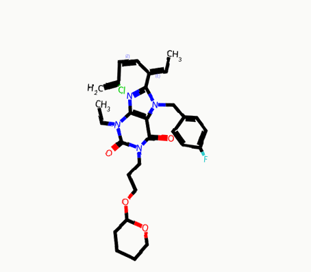 C=C(Cl)/C=C\C(=C/C)c1nc2c(c(=O)n(CCCOC3CCCCO3)c(=O)n2CC)n1Cc1ccc(F)cc1